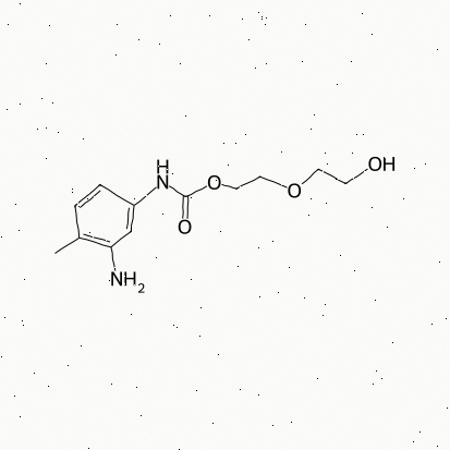 Cc1ccc(NC(=O)OCCOCCO)cc1N